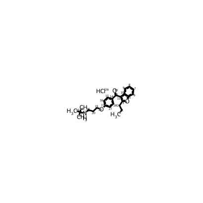 CCCc1oc2ccccc2c1C(=O)c1ccc(OCCCNC(C)(C)C)cc1.Cl